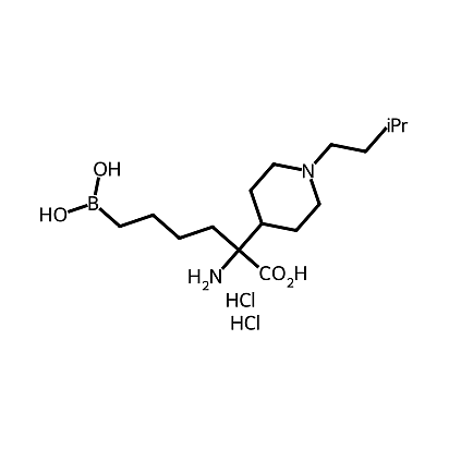 CC(C)CCN1CCC(C(N)(CCCCB(O)O)C(=O)O)CC1.Cl.Cl